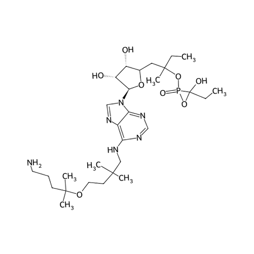 CCC(C)(CC1O[C@@H](n2cnc3c(NCC(C)(C)CCOC(C)(C)CCCN)ncnc32)[C@H](O)[C@@H]1O)OP1(=O)OC1(O)CC